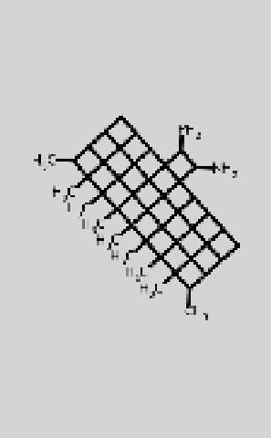 CC1C2C3CC4C5C6C78C(N)C(P)C79C7C%10CC%11C%12C(C)C%13(C)C%14(C)C%15(C)C%16(C)C%17(C)C%18(C)C1(C)C21C34C52C63C84C95C76C%11%10C%12%13C%146C%155C%164C%173C%1812